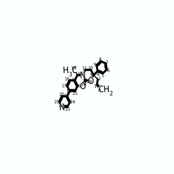 C=CC[C@]1(c2ccccc2)CCN([C@@H](C)c2ccc(-c3ccncc3)cc2)C(=O)O1